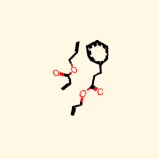 C=CCOC(=O)C=C.C=CCOC(=O)CCc1ccccc1